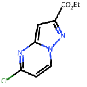 CCOC(=O)c1cc2nc(Cl)ccn2n1